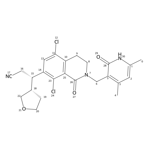 Cc1cc(C)c(CN2CCc3c(Cl)cc([C@@H](CC#N)[C@@H]4CCOC4)c(Cl)c3C2=O)c(=O)[nH]1